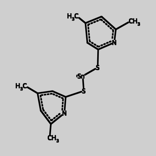 Cc1cc(C)nc([S][Sn][S]c2cc(C)cc(C)n2)c1